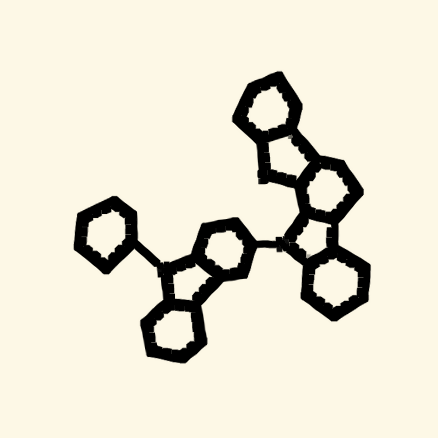 c1ccc(-n2c3ccccc3c3cc(-n4c5ccccc5c5ccc6c7ccccc7sc6c54)ccc32)cc1